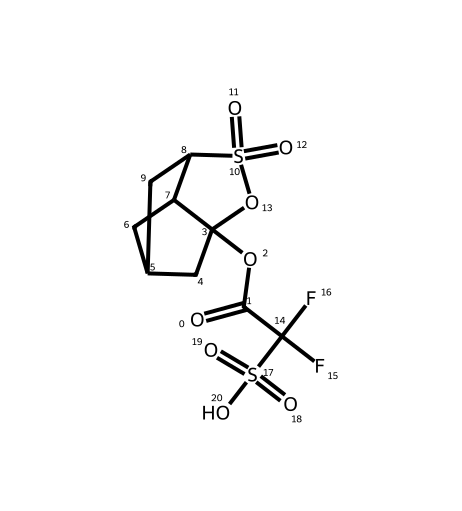 O=C(OC12CC3CC1C(C3)S(=O)(=O)O2)C(F)(F)S(=O)(=O)O